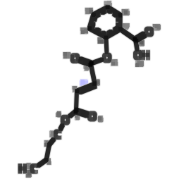 CCCCOC(=O)/C=C/C(=O)Oc1ccccc1C(=O)O